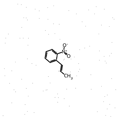 C/[C]=C/c1ccccc1[N+](=O)[O-]